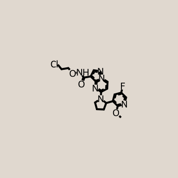 COc1ncc(F)cc1C1CCCN1c1ccn2ncc(C(=O)NOCCCl)c2n1